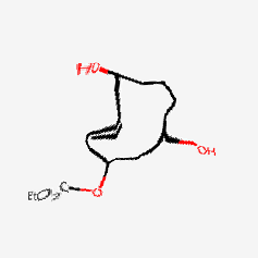 CCOC(=O)OC1/C=C/C(O)CCC(O)C1